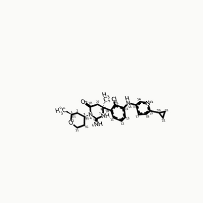 C[C@H]1C[C@H](N2C(=N)N[C@](C)(c3cccc(Nc4ccc(C5CC5)nc4)c3Cl)CC2=O)CCO1